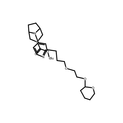 CC(C)(C)OC(=O)N1CC2CCC(C1)N2c1ccnc(CCCOCCOC2CCCCO2)c1